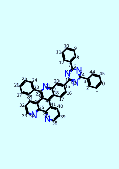 c1ccc(-c2nc(-c3ccccc3)nc(-c3ccc4c(c3)nc(-c3ccccc3)c3c5cccnc5c5ncccc5c43)n2)cc1